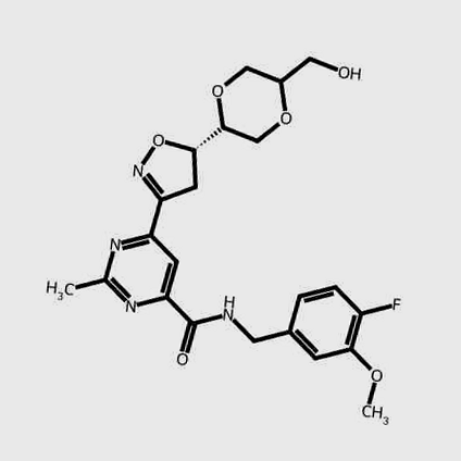 COc1cc(CNC(=O)c2cc(C3=NO[C@H](C4COC(CO)CO4)C3)nc(C)n2)ccc1F